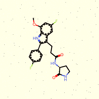 COc1cc(F)cc2c(CCC(=O)N[C@H]3CCNC3=O)c(-c3ccc(F)cc3)[nH]c12